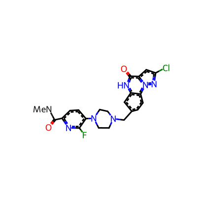 CNC(=O)c1ccc(N2CCN(Cc3ccc4c(c3)[nH]c(=O)c3cc(Cl)nn34)CC2)c(F)n1